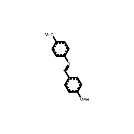 COc1ccc([C]=Nc2ccc(OC)cc2)cc1